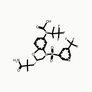 CC(C)(C[C@H]1CN(S(=O)(=O)c2cncc(C(F)(F)F)c2)c2cc(N(C(=O)O)C(C)(C)C(F)(F)F)ccc2O1)C(N)=O